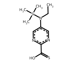 CCN(c1cnc(C(O)=S)nc1)[Si](C)(C)C